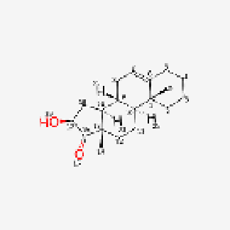 C[C@]12CCCCC1=CC[C@@H]1[C@@H]2CC[C@]2(C)C(=O)[C@@H](O)C[C@@H]12